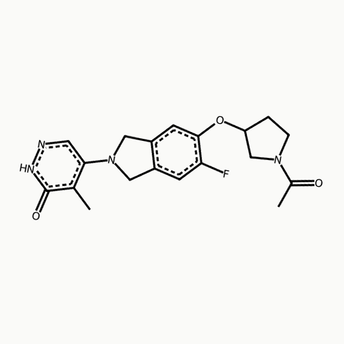 CC(=O)N1CCC(Oc2cc3c(cc2F)CN(c2cn[nH]c(=O)c2C)C3)C1